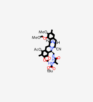 COCOc1c(OC)c(C)cc2c1[C@H]1C3Cc4c(OC(C)=O)c(C)c5c(c4[C@H](CNC(=O)C(C)NC(=O)OC(C)(C)C)N3[C@@H](C#N)[C@H](C2)N1C)OCO5